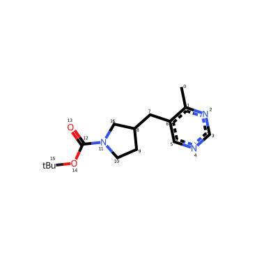 Cc1ncncc1CC1CCN(C(=O)OC(C)(C)C)C1